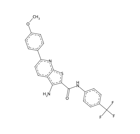 COc1ccc(-c2ccc3c(N)c(C(=O)Nc4ccc(C(F)(F)F)cc4)sc3n2)cc1